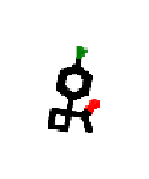 CC(=O)C1(c2ccc(Br)cc2)CCC1